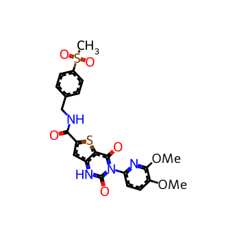 COc1ccc(-n2c(=O)[nH]c3cc(C(=O)NCc4ccc(S(C)(=O)=O)cc4)sc3c2=O)nc1OC